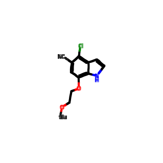 CC(C)(C)OCCOc1cc(C#N)c(Cl)c2cc[nH]c12